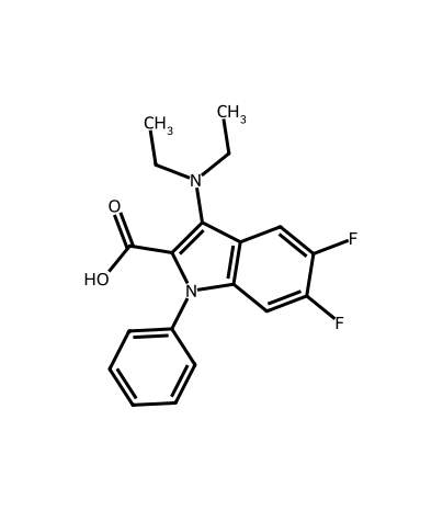 CCN(CC)c1c(C(=O)O)n(-c2ccccc2)c2cc(F)c(F)cc12